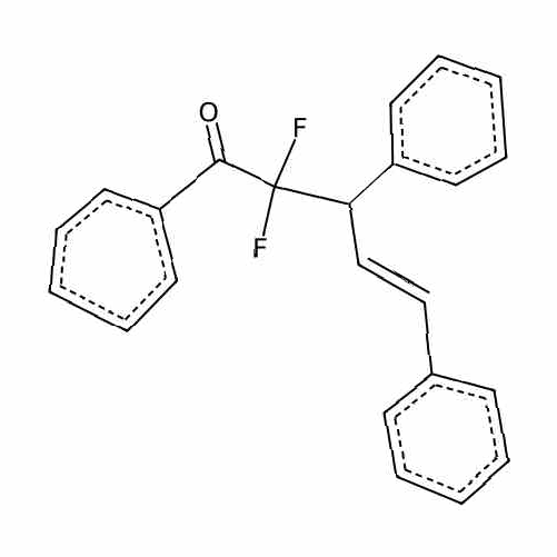 O=C(c1ccccc1)C(F)(F)C(C=Cc1ccccc1)c1ccccc1